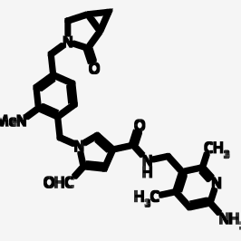 CNc1cc(CN2CC3CC3C2=O)ccc1Cn1cc(C(=O)NCc2c(C)cc(N)nc2C)cc1C=O